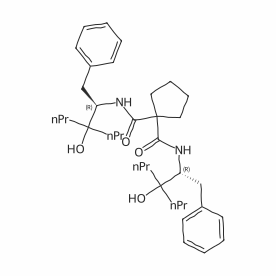 CCCC(O)(CCC)[C@@H](Cc1ccccc1)NC(=O)C1(C(=O)N[C@H](Cc2ccccc2)C(O)(CCC)CCC)CCCC1